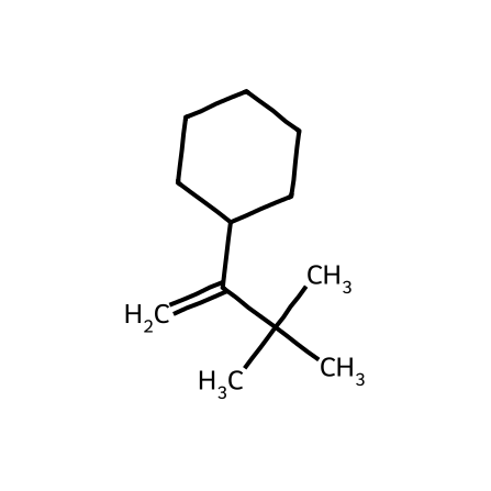 C=C(C1CCCCC1)C(C)(C)C